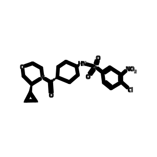 O=C([C@H]1CC[C@H](NS(=O)(=O)c2ccc(Cl)c([N+](=O)[O-])c2)CC1)N1CCOC[C@@H]1C1CC1